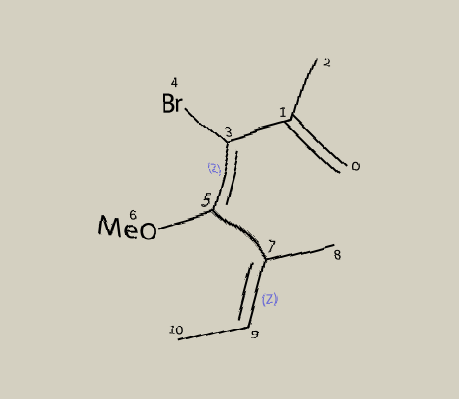 C=C(C)/C(Br)=C(OC)\C(C)=C/C